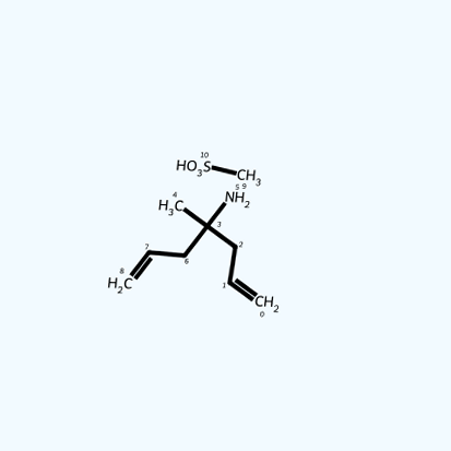 C=CCC(C)(N)CC=C.CS(=O)(=O)O